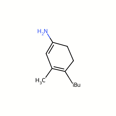 CCC(C)C1=C(C)C=C(N)CC1